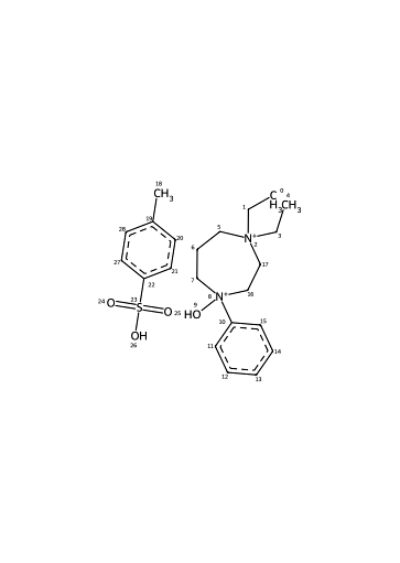 CC[N+]1(CC)CCC[N+](O)(c2ccccc2)CC1.Cc1ccc(S(=O)(=O)O)cc1